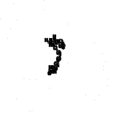 CN1CCN([C@@H]2CCCN(C3CNC(C(N)=O)C(Nc4ccc(C5CCN(CC6CCN(C7CCC(C(=O)N[C@@H]8CCC(=O)NC8=O)N(C)C7)CC6)CC5)cc4)N3)C2)C1=O